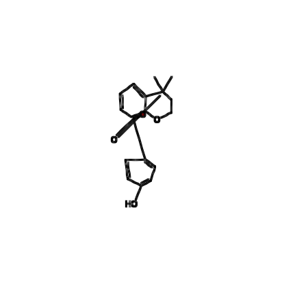 CC1(C)CCOC23OCC(c4ccc(O)cc4)C(=O)C2C=CC=C13